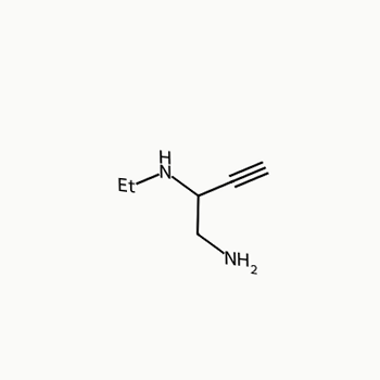 C#CC(CN)NCC